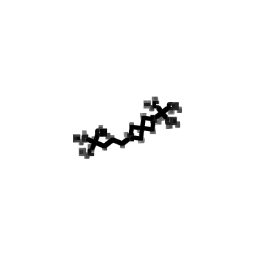 CC(C)(C)CCCN1CC2(C1)CN(C(C)(C)C)C2